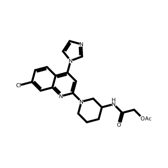 CC(=O)OCC(=O)NC1CCCN(c2cc(-n3ccnc3)c3ccc(Cl)cc3n2)C1